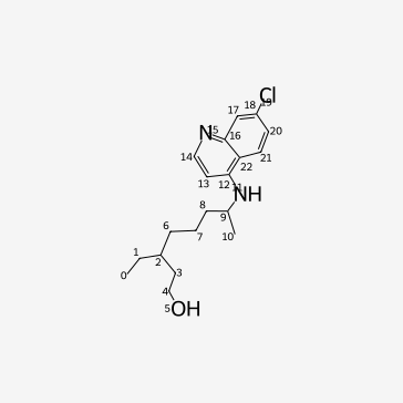 CCC(CCO)CCCC(C)Nc1ccnc2cc(Cl)ccc12